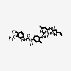 C=Cc1cc(Nc2cc(C)nc(Nc3ccc(NC(=O)Nc4ccc(Cl)c(C(F)(F)F)c4)cc3C)n2)[nH]n1